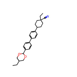 CCC1COC(c2ccc(-c3ccc(C4CCC(C#N)(CC)CC4)cc3)cc2)OC1